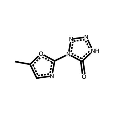 Cc1cnc(-n2nn[nH]c2=O)o1